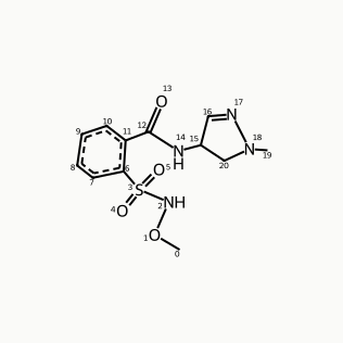 CONS(=O)(=O)c1ccccc1C(=O)NC1C=NN(C)C1